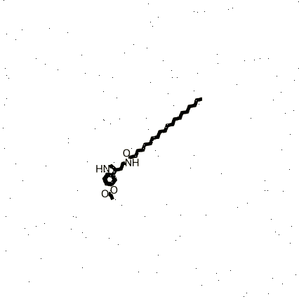 CCCCCCCCCCCCCCCCCCCC(=O)NCCC1CNc2ccc(OC(C)=O)cc21